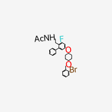 CC(=O)NCCc1c(F)cc(OC2CCC(OCc3ccccc3Br)CC2)cc1-c1ccccc1